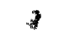 CCOC[C@H](C[C@H](N)Cc1ccc(-c2cccc(Cl)c2)cc1)C(=O)OCC